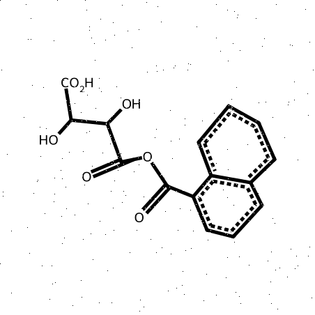 O=C(OC(=O)C(O)C(O)C(=O)O)c1cccc2ccccc12